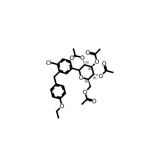 CCOc1ccc(Cc2cc(C3O[C@H](COC(C)=O)[C@@H](OC(C)=O)[C@H](OC(C)=O)[C@H]3OC(C)=O)ccc2Cl)cc1